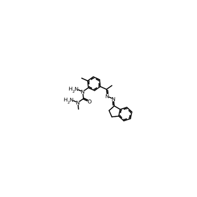 C/C(=N\N=C1/CCc2ccccc21)c1ccc(C)c(N(N)C(=O)N(C)N)c1